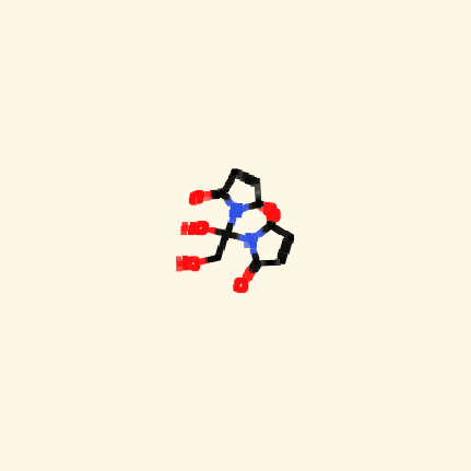 O=C1C=CC(=O)N1C(O)(CO)N1C(=O)C=CC1=O